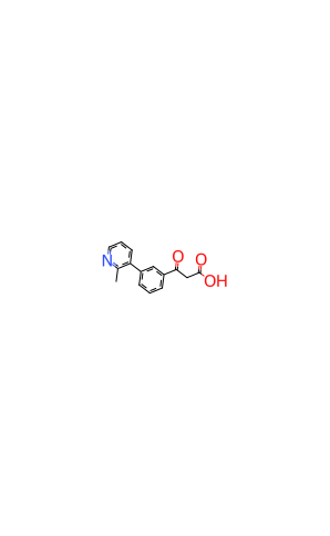 Cc1ncccc1-c1cccc(C(=O)CC(=O)O)c1